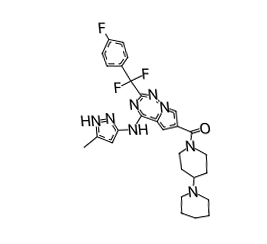 Cc1cc(Nc2nc(C(F)(F)c3ccc(F)cc3)nn3cc(C(=O)N4CCC(N5CCCCC5)CC4)cc23)n[nH]1